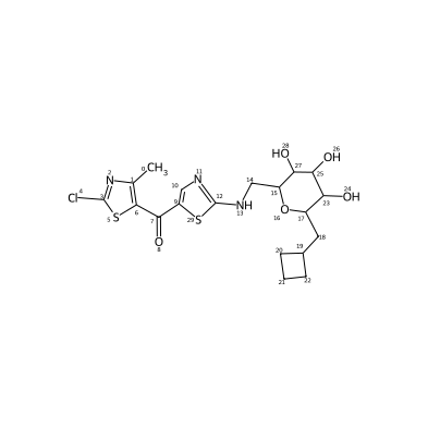 Cc1nc(Cl)sc1C(=O)c1cnc(NCC2OC(CC3CCC3)C(O)C(O)C2O)s1